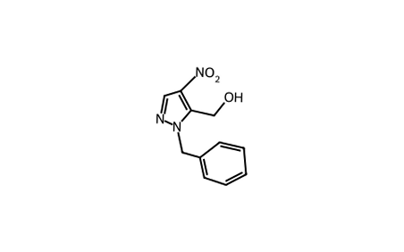 O=[N+]([O-])c1cnn(Cc2ccccc2)c1CO